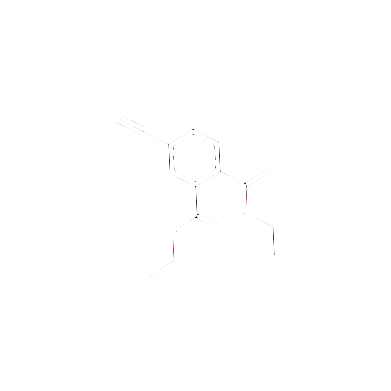 C#Cc1ccc(C(=O)OCC)c(C(=O)OCC)c1